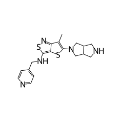 Cc1c(N2CC3CNCC3C2)sc2c(NCc3ccncc3)snc12